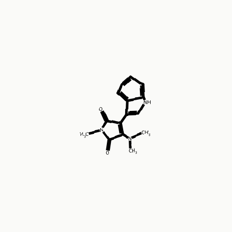 CN(C)C1=C(c2c[nH]c3ccccc23)C(=O)N(C)C1=O